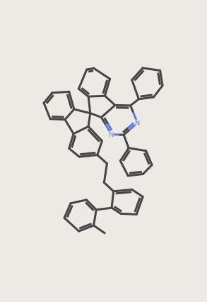 Cc1ccccc1-c1ccccc1CCc1ccc2c(c1)C1(c3ccccc3-2)c2ccccc2-c2c(-c3ccccc3)nc(-c3ccccc3)nc21